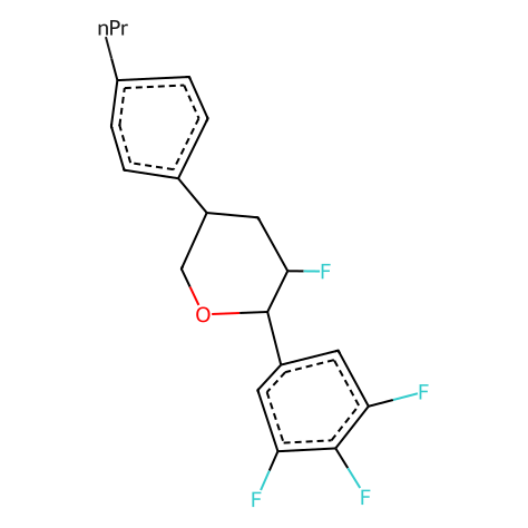 CCCc1ccc(C2COC(c3cc(F)c(F)c(F)c3)C(F)C2)cc1